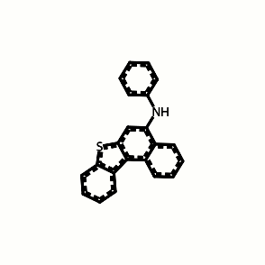 c1ccc(Nc2cc3sc4ccccc4c3c3ccccc23)cc1